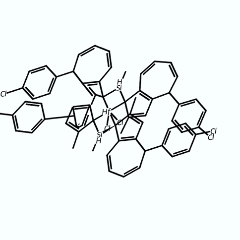 CC1=CC2=C(C=CC=CC2c2ccc(Cl)cc2)[C]12[SiH](C)[C]1(C(C)=CC3=C1C=CC=CC3c1ccc(Cl)cc1)[Hf]21([Cl])([Cl])[C]2(C(C)=CC3=C2C=CC=CC3c2ccc(Cl)cc2)[SiH](C)[C@]12C(C)=CC1=C2C=CC=CC1c1ccc(Cl)cc1